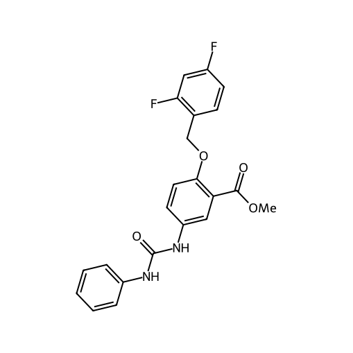 COC(=O)c1cc(NC(=O)Nc2ccccc2)ccc1OCc1ccc(F)cc1F